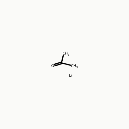 CC(C)=O.[Li]